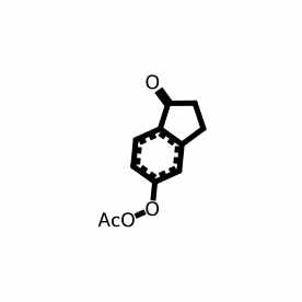 CC(=O)OOc1ccc2c(c1)CCC2=O